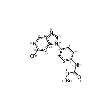 CC(C)(C)OC(=O)Nc1ccc(-n2cnc3cnc(Cl)nc32)cc1